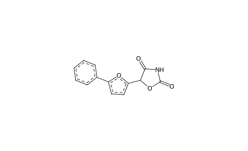 O=C1NC(=O)C(c2ccc(-c3ccccc3)o2)O1